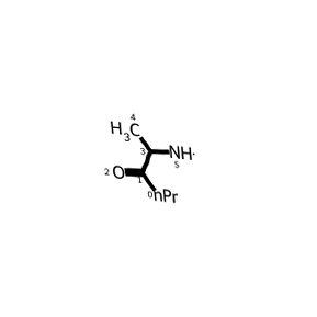 CCCC(=O)C(C)[NH]